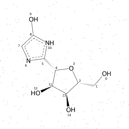 OC[C@H]1O[C@@H](c2ncc(O)[nH]2)[C@H](O)[C@@H]1O